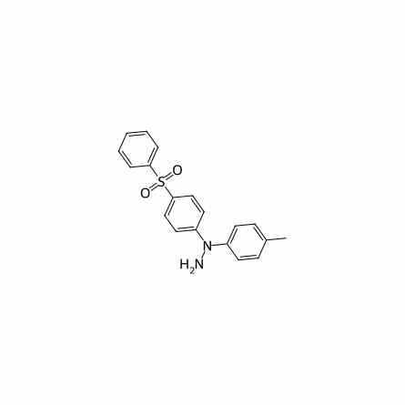 Cc1ccc(N(N)c2ccc(S(=O)(=O)c3ccccc3)cc2)cc1